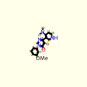 COc1cccc(-n2cnc3c(c2=O)SC2NC=CC(N(C)C)=C32)c1